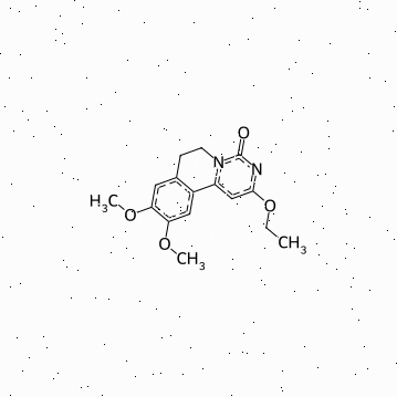 CCOc1cc2n(c(=O)n1)CCc1cc(OC)c(OC)cc1-2